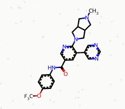 CN1CC2CN(c3ncc(C(=O)Nc4ccc(OC(F)(F)F)cc4)cc3-c3cncnc3)CC2C1